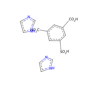 O=C(O)c1cc(C(=O)O)cc(S(=O)(=O)O)c1.c1c[nH]cn1.c1c[nH]cn1